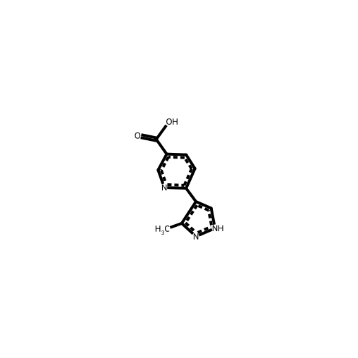 Cc1n[nH]cc1-c1ccc(C(=O)O)cn1